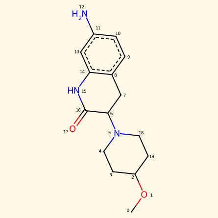 COC1CCN(C2Cc3ccc(N)cc3NC2=O)CC1